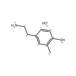 Cc1cc(CCN)ccc1O.Cl